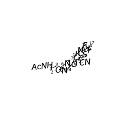 CC(=O)N[C@@H](C)COc1cnc(Oc2ccc3nc(C(C)(F)F)sc3c2C#N)cn1